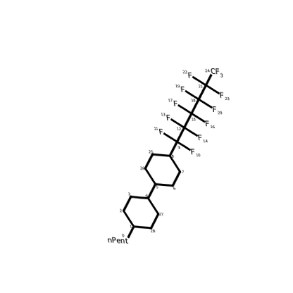 CCCCCC1CCC(C2CCC(C(F)(F)C(F)(F)C(F)(F)C(F)(F)C(F)(F)C(F)(F)F)CC2)CC1